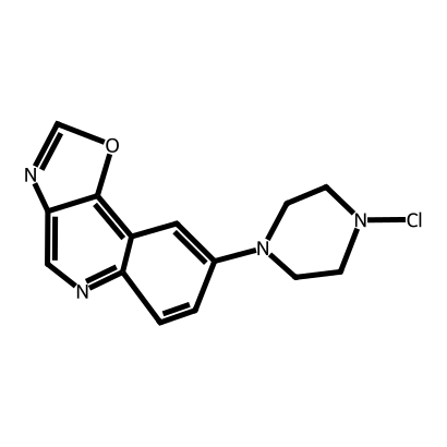 ClN1CCN(c2ccc3ncc4ncoc4c3c2)CC1